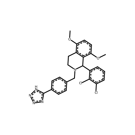 COc1ccc(OC)c2c1CCN(Cc1ccc(-c3nnn[nH]3)cc1)C2c1cccc(Cl)c1Cl